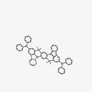 CC1(C)c2cc3c(cc2N2c4c(cc(N(c5ccccc5)c5ccccc5)cc41)C1=CC=CCC12)C(C)(C)c1cc(N(c2ccccc2)c2ccccc2)cc2c4ccccc4n-3c12